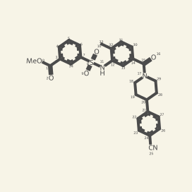 COC(=O)c1cccc(S(=O)(=O)Nc2cc(C(=O)N3CCC(c4ccc(C#N)cc4)CC3)ccc2C)c1